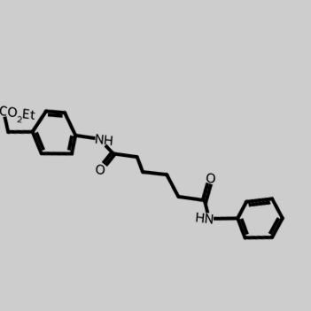 CCOC(=O)Cc1ccc(NC(=O)CCCCC(=O)Nc2ccccc2)cc1